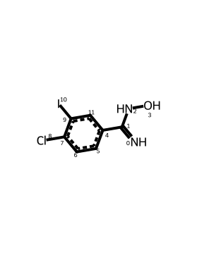 N=C(NO)c1ccc(Cl)c(I)c1